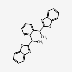 CC(c1nc2ccccc2o1)c1cccnc1C(C)c1nc2ccccc2o1